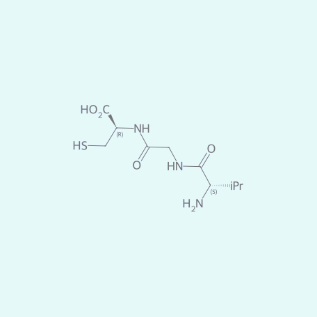 CC(C)[C@H](N)C(=O)NCC(=O)N[C@@H](CS)C(=O)O